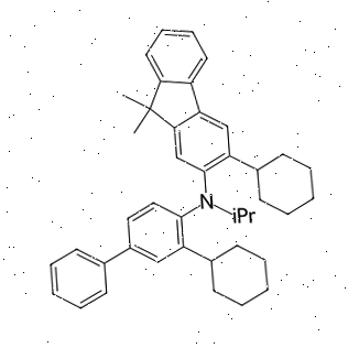 CC(C)N(c1ccc(-c2ccccc2)cc1C1CCCCC1)c1cc2c(cc1C1CCCCC1)-c1ccccc1C2(C)C